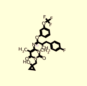 Cc1c(/N=C(/Oc2cccc(OC(F)(F)F)c2)C(C)Cc2ccc(F)cc2)n(C)c(=O)n(CC2(O)CC2)c1=O